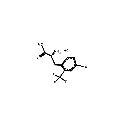 Cl.N[C@@H](Cc1ccc(O)cc1C(F)(F)F)C(=O)O